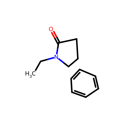 CCN1CCCC1=O.c1ccccc1